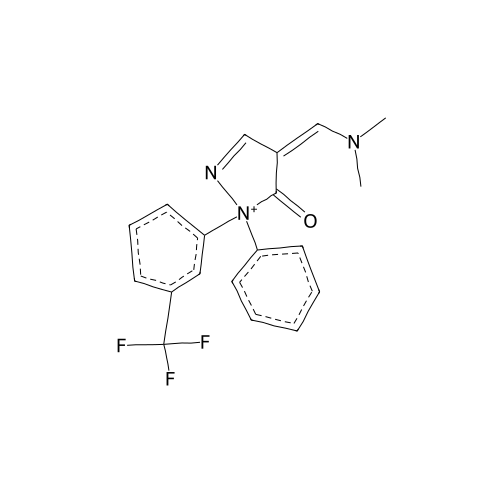 CN(C)C=C1C=N[N+](c2ccccc2)(c2cccc(C(F)(F)F)c2)C1=O